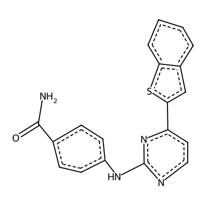 NC(=O)c1ccc(Nc2nccc(-c3cc4ccccc4s3)n2)cc1